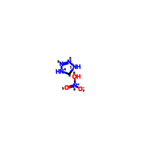 C1NN=NN1.O=[N+]([O-])O